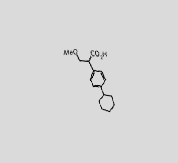 COCC(C(=O)O)c1ccc(C2CCCCC2)cc1